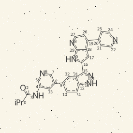 CC(C)C(=O)Nc1cncc(-c2ccc3[nH]nc(-c4cc5c(-c6ccncc6)ccnc5[nH]4)c3c2)c1